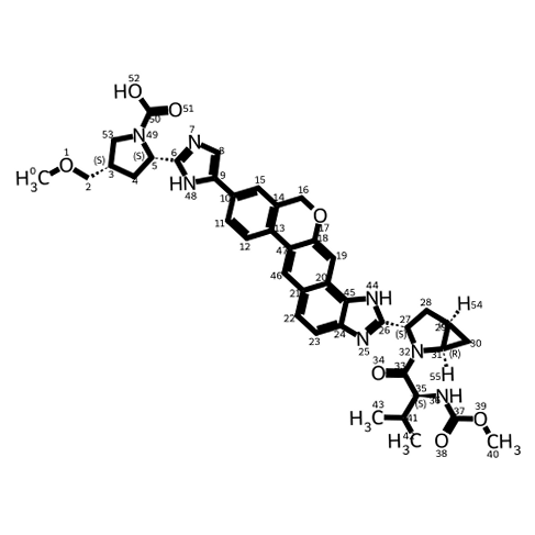 COC[C@H]1C[C@@H](c2ncc(-c3ccc4c(c3)COc3cc5c(ccc6nc([C@@H]7C[C@H]8C[C@H]8N7C(=O)[C@@H](NC(=O)OC)C(C)C)[nH]c65)cc3-4)[nH]2)N(C(=O)O)C1